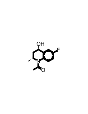 CC(=O)N1c2ccc(F)cc2[C@@H](O)C[C@H]1C